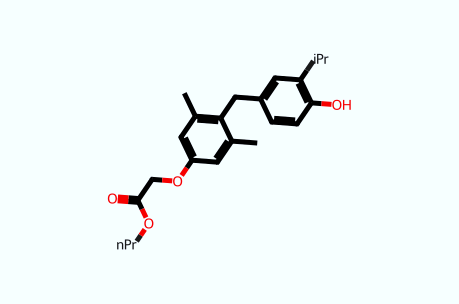 CCCOC(=O)COc1cc(C)c(Cc2ccc(O)c(C(C)C)c2)c(C)c1